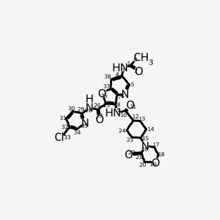 CC(=O)Nc1cnc2c(NC(=O)C3CCC(N4CCOCC4=O)CC3)c(C(=O)Nc3ccc(Cl)cn3)oc2c1